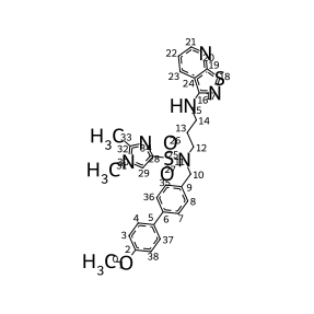 COc1ccc(-c2ccc(CN(CCCNc3nsc4ncccc34)S(=O)(=O)c3cn(C)c(C)n3)cc2)cc1